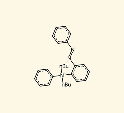 CCCC[N+](CCCC)(c1ccccc1)c1ccccc1N=Nc1ccccc1